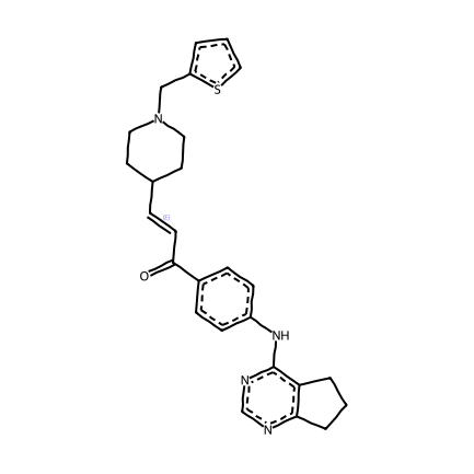 O=C(/C=C/C1CCN(Cc2cccs2)CC1)c1ccc(Nc2ncnc3c2CCC3)cc1